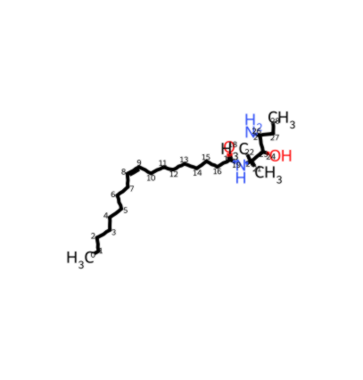 CCCCCCCC/C=C\CCCCCCCC(=O)NC(C)(C)C(O)C(N)CC